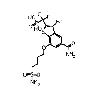 NC(=O)c1cc(OCCCCS(N)(=O)=O)c2sc(C(F)(F)P(=O)(O)O)c(Br)c2c1